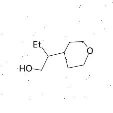 CCC(CO)C1CCOCC1